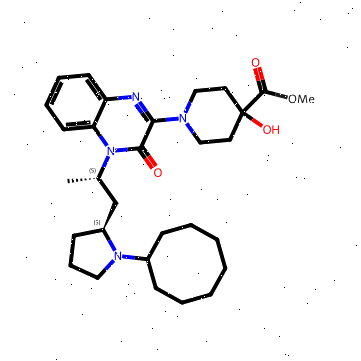 COC(=O)C1(O)CCN(c2nc3ccccc3n([C@@H](C)C[C@@H]3CCCN3C3CCCCCCC3)c2=O)CC1